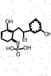 CCC(CC1=C(O)C=CCC1=NP(=O)(O)O)c1cccc(O)c1